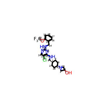 OC1CN([C@H]2CC[C@H](CNc3nc(NCc4ccccc4OC(F)(F)F)ncc3Cl)CC2)C1